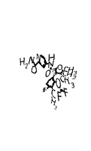 Cc1c(F)ccc([C@H]2[C@H](C(=O)Nc3ccnc(C(N)=O)c3)OC(C)(C)[C@H]2C)c1OC(F)F